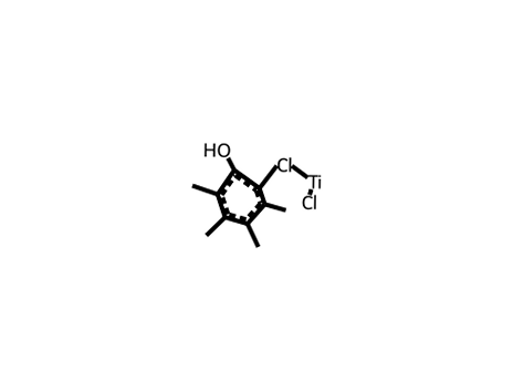 Cc1c(C)c(C)c(O)c(C)c1C.[Cl][Ti][Cl]